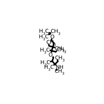 CCC(C)(NC)C(C)COC(C)(CC)C(C)(CC)CCOC(C)(C)C